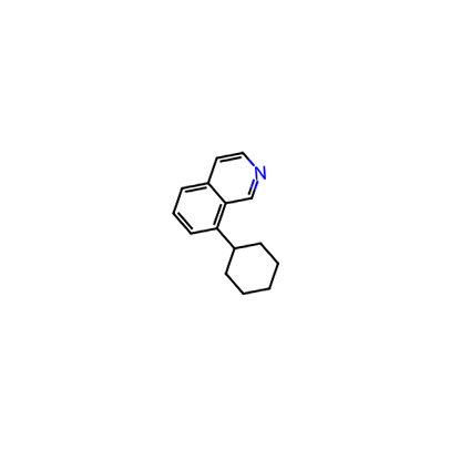 c1cc(C2CCCCC2)c2cnccc2c1